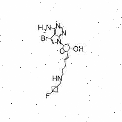 Nc1ncnc2c1c(Br)cn2[C@H]1C[C@H](O)[C@@H](/C=C/CCCNCC23CC(F)(C2)C3)O1